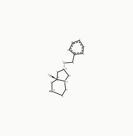 c1ccc(CO[C@H]2C[C@H]3CNCCN3C2)cc1